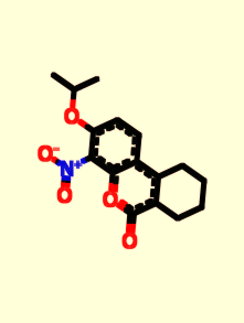 CC(C)Oc1ccc2c3c(c(=O)oc2c1[N+](=O)[O-])CCCC3